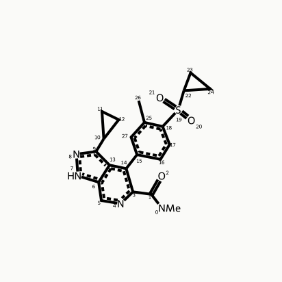 CNC(=O)c1ncc2[nH]nc(C3CC3)c2c1-c1ccc(S(=O)(=O)C2CC2)c(C)c1